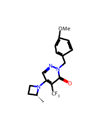 COc1ccc(Cn2ncc(N3CC[C@H]3C)c(C(F)(F)F)c2=O)cc1